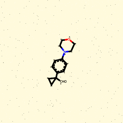 O=CC1(c2ccc(N3CCOCC3)cc2)CC1